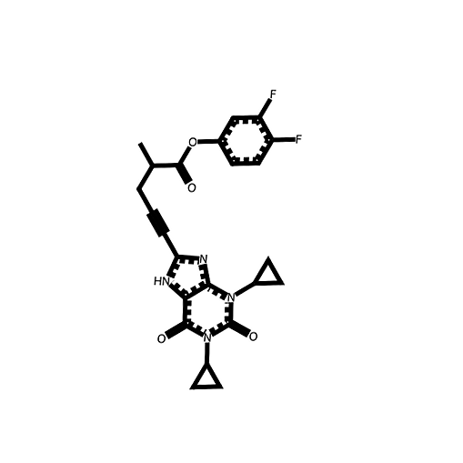 CC(CC#Cc1nc2c([nH]1)c(=O)n(C1CC1)c(=O)n2C1CC1)C(=O)Oc1ccc(F)c(F)c1